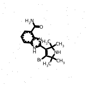 CC1(C)NC(C)(C)C(c2nc3c(C(N)=O)cccc3[nH]2)=C1Br